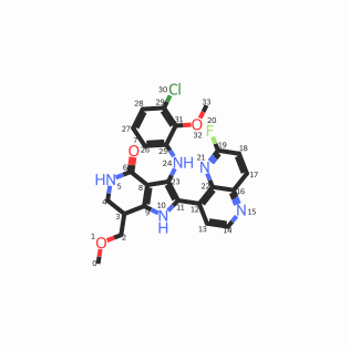 COCC1CNC(=O)c2c1[nH]c(-c1ccnc3ccc(F)nc13)c2Nc1cccc(Cl)c1OC